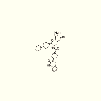 O=C(NC(CC(=C/CBr)/C=C1/C=NNC1)C(=O)N1CCC(N2CCCCC2)CC1)N1CCC(N2Cc3ccccc3NC2=O)CC1